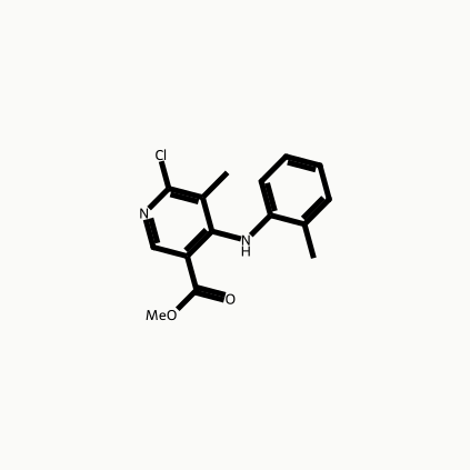 COC(=O)c1cnc(Cl)c(C)c1Nc1ccccc1C